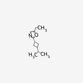 CCc1cnc(C2CC(C(C)C)C2)o1